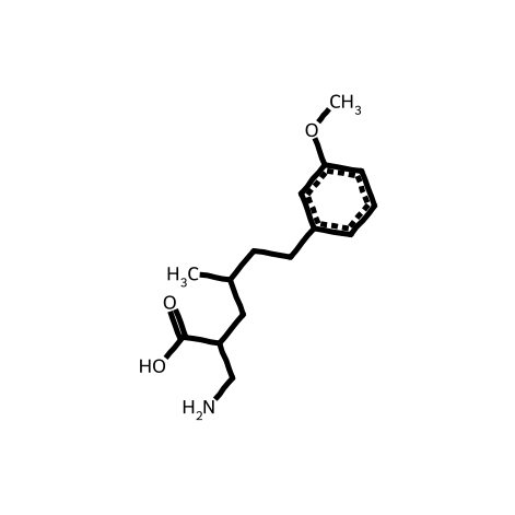 COc1cccc(CCC(C)CC(CN)C(=O)O)c1